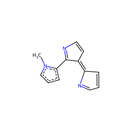 Cn1cccc1C1=NC=CC1=C1C=CC=N1